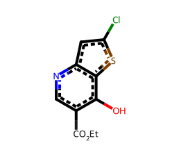 CCOC(=O)c1cnc2cc(Cl)sc2c1O